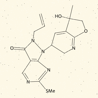 C=CCn1c(=O)c2cnc(SC)nc2n1C1C=C2C(=NC1)OCC2(C)O